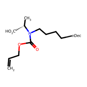 C=CCOC(=O)N(CCCCCCCCCCCCCC)[C@@H](C)C(=O)O